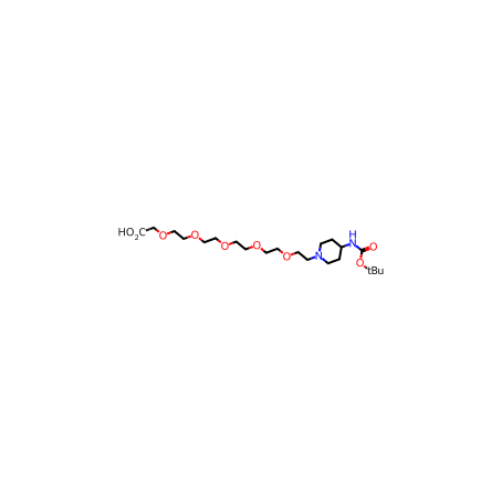 CC(C)(C)OC(=O)NC1CCN(CCOCCOCCOCCOCCOCC(=O)O)CC1